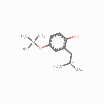 CC(=O)O[C@H](Cc1cc(O[Si](C)(C)C(C)(C)C)ccc1O)C(=O)O